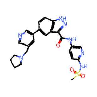 CS(=O)(=O)Nc1ccc(NC(=O)c2n[nH]c3ccc(-c4cncc(CN5CCCC5)c4)cc23)cn1